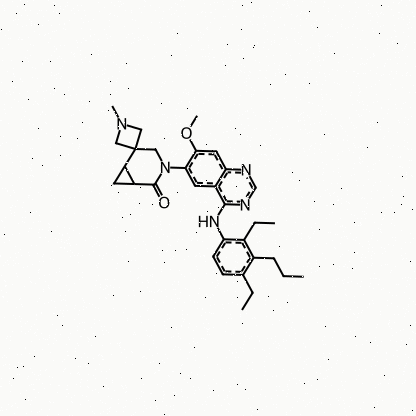 CCCc1c(CC)ccc(Nc2ncnc3cc(OC)c(N4CC5(CN(C)C5)C5CC5C4=O)cc23)c1CC